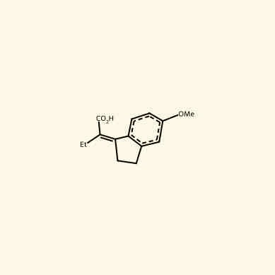 CCC(C(=O)O)=C1CCc2cc(OC)ccc21